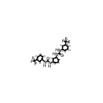 O=C(Nc1cccc(NC(=O)Nc2cccc(C(F)(F)F)c2)c1)Nc1cccc(C(F)(F)F)c1